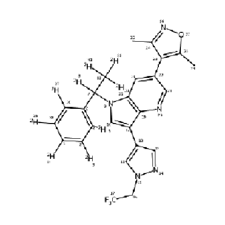 [2H]c1c([2H])c([2H])c(C([2H])(n2cc(-c3cnn(CC(F)(F)F)c3)c3ncc(-c4c(C)noc4C)cc32)C([2H])([2H])[2H])c([2H])c1[2H]